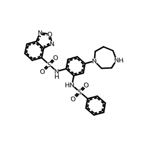 O=S(=O)(Nc1cc(N2CCCNCC2)ccc1NS(=O)(=O)c1cccc2nonc12)c1ccccc1